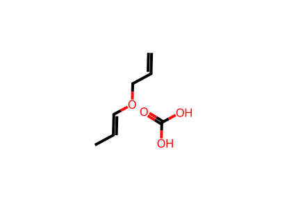 C=CCOC=CC.O=C(O)O